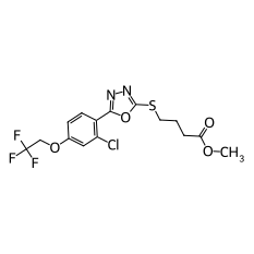 COC(=O)CCCSc1nnc(-c2ccc(OCC(F)(F)F)cc2Cl)o1